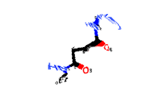 CCNC(=O)CC(=O)NN